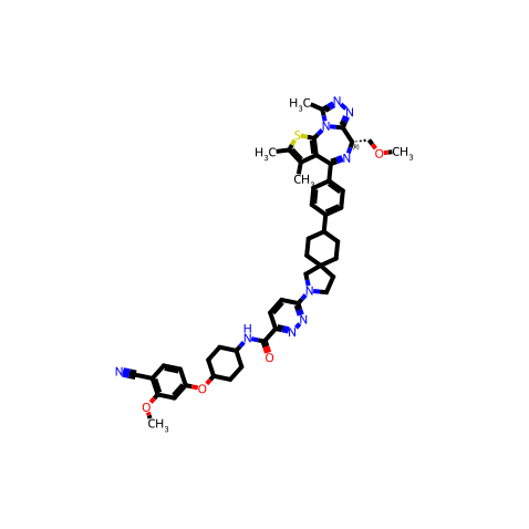 COC[C@@H]1N=C(c2ccc(C3CCC4(CC3)CCN(c3ccc(C(=O)NC5CCC(Oc6ccc(C#N)c(OC)c6)CC5)nn3)C4)cc2)c2c(sc(C)c2C)-n2c(C)nnc21